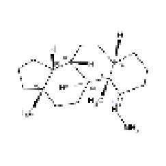 C[C@@]12CCC[C@@H]1[C@@H]1CC[C@@H]3CCC/C(=N\N)[C@]3(C)[C@H]1CC2